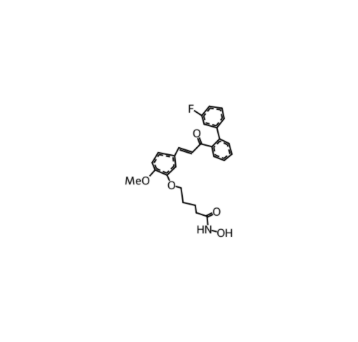 COc1ccc(C=CC(=O)c2ccccc2-c2cccc(F)c2)cc1OCCCCC(=O)NO